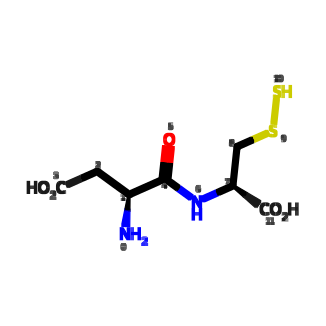 N[C@@H](CC(=O)O)C(=O)N[C@@H](CSS)C(=O)O